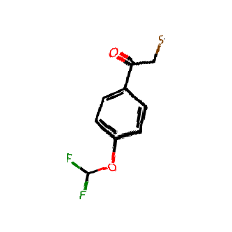 O=C(C[S])c1ccc(OC(F)F)cc1